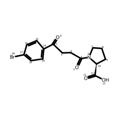 O=C(CCC(=O)N1CCC[C@H]1C(=O)O)c1ccc(Br)cc1